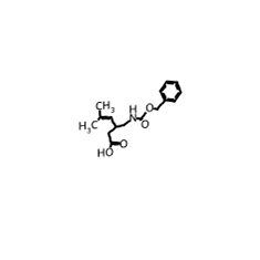 CC(C)=CC(CNC(=O)OCc1ccccc1)CC(=O)O